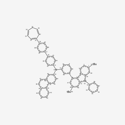 CC(C)(C)c1ccc2c3c(-c4cccc(N(c5ccc(-c6ccc(C7=CC=CCC=C7)cc6)cc5)c5ccc6c(ccc7ccccc76)c5)c4)cc(C(C)(C)C)cc3n(-c3ccccc3)c2c1